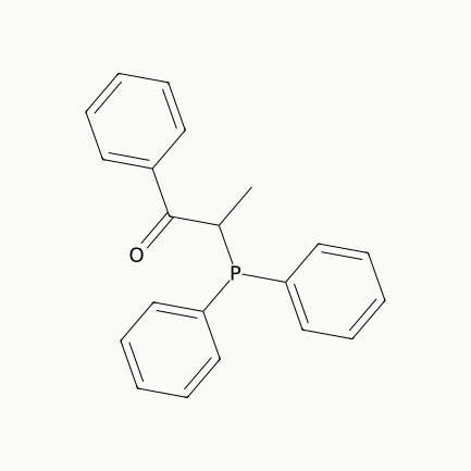 CC(C(=O)c1ccccc1)P(c1ccccc1)c1ccccc1